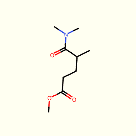 COC(=O)CCC(C)C(=O)N(C)C